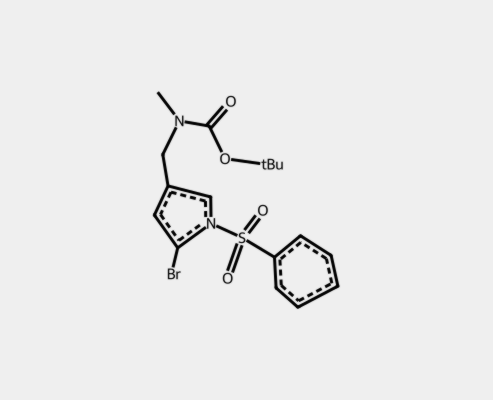 CN(Cc1cc(Br)n(S(=O)(=O)c2ccccc2)c1)C(=O)OC(C)(C)C